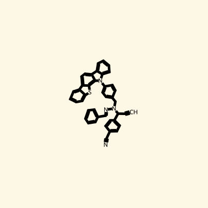 C#CC(c1ccc(C#N)cc1)N(Cc1ccc(-n2c3ccccc3c3ccc4c5ccccc5sc4c32)cc1)/N=C/c1ccccc1